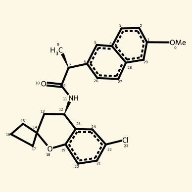 COc1ccc2cc([C@H](C)C(=O)N[C@@H]3CC4(CCC4)Oc4ccc(Cl)cc43)ccc2c1